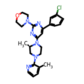 Cc1cccnc1N1CCN(c2cc(-c3cccc(Cl)c3)nc(N3CCOCC3)n2)[C@H](C)C1